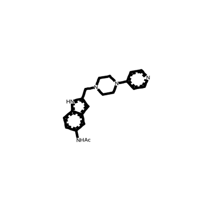 CC(=O)Nc1ccc2[nH]c(CN3CCN(c4ccncc4)CC3)cc2c1